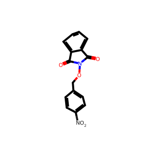 O=C1c2ccccc2C(=O)N1OCc1ccc([N+](=O)[O-])cc1